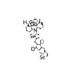 [CH3][Ge]1([CH3])[c]2ccccc2N(c2ccc(/C=C3\C(=O)c4cc5cc[se]c5cc4C3=O)[se]2)c2cccc[c]21